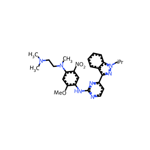 COc1cc(N(C)CCN(C)C)c([N+](=O)[O-])cc1Nc1nccc(-c2nn(C(C)C)c3ccccc23)n1